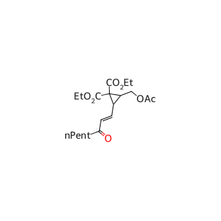 CCCCCC(=O)C=CC1C(COC(C)=O)C1(C(=O)OCC)C(=O)OCC